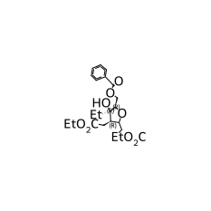 CCOC(=O)CC1O[C@H](COC(=O)c2ccccc2)[C@@](O)(CC)[C@@H]1CC(=O)OCC